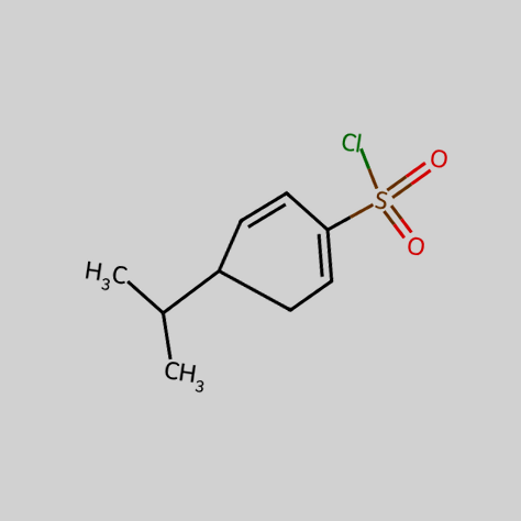 CC(C)C1C=CC(S(=O)(=O)Cl)=CC1